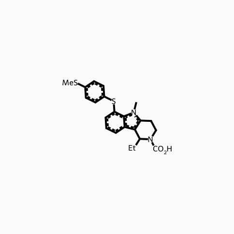 CCC1c2c(n(C)c3c(Sc4ccc(SC)cc4)cccc23)CCN1C(=O)O